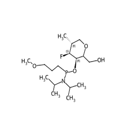 COCCCP(O[C@@H]1C(CO)OC[C@@H](C)[C@@H]1F)N(C(C)C)C(C)C